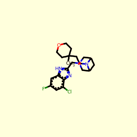 CC1(CCN2C3CC2CN(Cc2nc4c(Cl)cc(F)cc4[nH]2)C3)CCOCC1